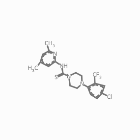 Cc1cc(C)nc(NC(=S)N2CCN(c3ccc(Cl)cc3C(F)(F)F)CC2)c1